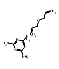 C=CCOCC=C.Nc1nc(N)nc(N)n1